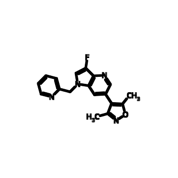 Cc1noc(C)c1-c1cnc2c(F)cn(Cc3ccccn3)c2c1